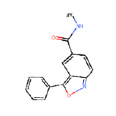 CC(C)NC(=O)c1ccc2noc(-c3ccccc3)c2c1